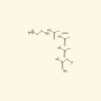 C=C.CC(=O)O.CC(=O)O.CC(=O)O.N.N.NCCN.O=C(O)CCl